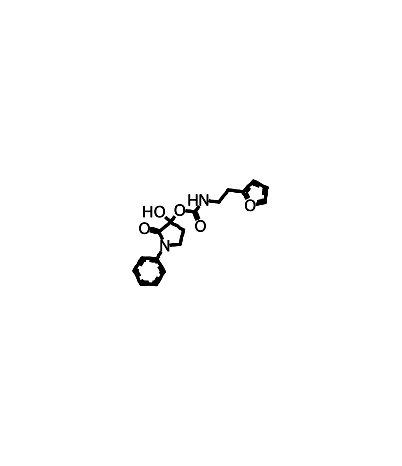 O=C(NCCc1ccco1)OC1(O)CCN(c2ccccc2)C1=O